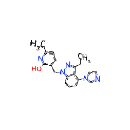 CCc1nn(Cc2ccc(C)nc2O)c2cccc(-n3ccnc3)c12